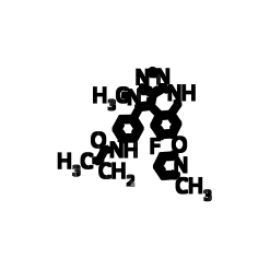 C=C(C)C(=O)Nc1ccc(-c2c3c4c(ncnc4n2C)NCc2cc(Oc4cccc(C)n4)c(F)cc2-3)cc1